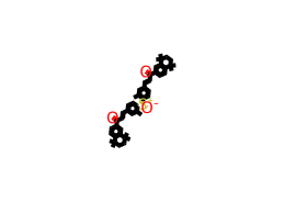 Cc1cc(C=CC(=O)c2ccc3c(c2)C(C)(C)CCC3(C)C)ccc1[S+]([O-])c1ccc(C=CC(=O)c2ccc3c(c2)C(C)(C)CCC3(C)C)cc1C